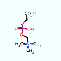 C[N+](C)(C)COP(=O)(O)OCC(=O)O